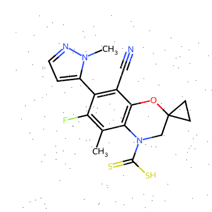 Cc1c(F)c(-c2ccnn2C)c(C#N)c2c1N(C(=S)S)CC1(CC1)O2